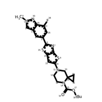 Cn1cc2cc(-c3nc4sc(N5CCN(C(=O)OC(C)(C)C)C6(CC6)C5)cc4s3)cc(F)c2n1